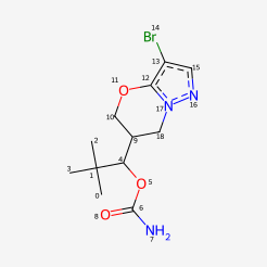 CC(C)(C)C(OC(N)=O)C1COc2c(Br)cnn2C1